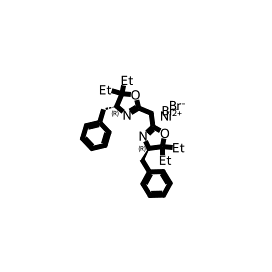 CCC1(CC)OC(CC2=N[C@H](Cc3ccccc3)C(CC)(CC)O2)=N[C@@H]1Cc1ccccc1.[Br-].[Br-].[Ni+2]